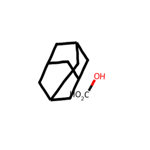 C1C2CC3CC1CC(C2)C3.O=C(O)O